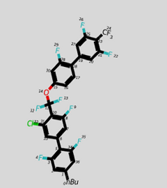 CCCCc1cc(F)c(-c2cc(F)c(C(F)(F)Oc3ccc(-c4cc(F)c(C(F)(F)F)c(F)c4)c(F)c3)c(Cl)c2)c(F)c1